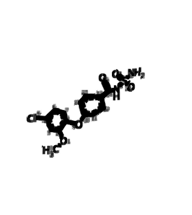 COc1cc(Cl)ccc1Oc1ccc(C(=O)NS(N)(=O)=O)cc1